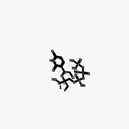 C[C@H](O)[C@@](CF)(COP(=O)(O)OP(=O)(O)OP(=O)(O)O)O[C@H](CCl)n1ccc(=O)[nH]c1=O